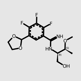 CO[C@@H](C)[C@@H](CO)NC(=N)c1cc(C2OCCO2)c(F)c(F)c1F